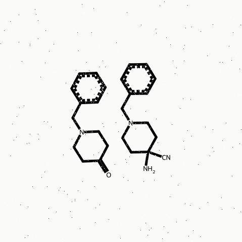 N#CC1(N)CCN(Cc2ccccc2)CC1.O=C1CCN(Cc2ccccc2)CC1